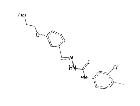 Cc1ccc(NC(=S)NN=Cc2cccc(OCCO)c2)cc1Cl